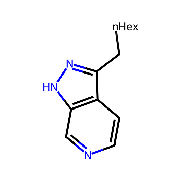 CCCCCCCc1n[nH]c2cnccc12